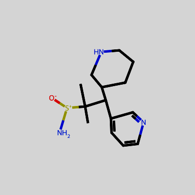 CC(C)(C(c1cccnc1)C1CCCNC1)[S+](N)[O-]